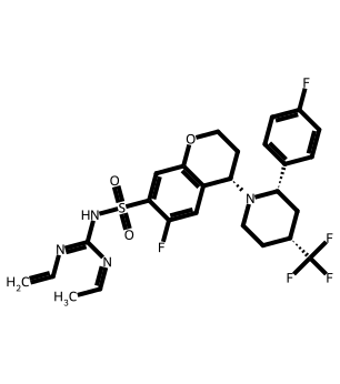 C=C/N=C(\N=C/C)NS(=O)(=O)c1cc2c(cc1F)[C@@H](N1CC[C@@H](C(F)(F)F)C[C@H]1c1ccc(F)cc1)CCO2